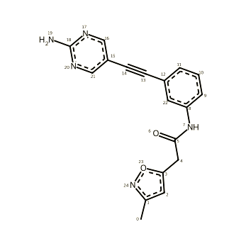 Cc1cc(CC(=O)Nc2cccc(C#Cc3cnc(N)nc3)c2)on1